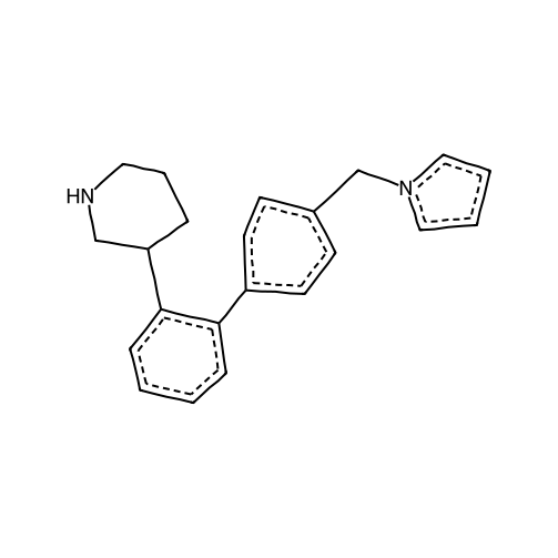 c1ccc(C2CCCNC2)c(-c2ccc(Cn3cccc3)cc2)c1